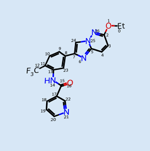 CCOc1ccc2nc(-c3ccc(C(F)(F)F)c(NC(=O)c4cccnc4)c3)cn2n1